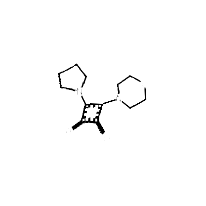 O=c1c(N2CCCC2)c(N2CCOCC2)c1=O